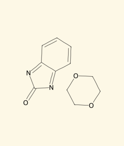 C1COCCO1.O=C1N=c2ccccc2=N1